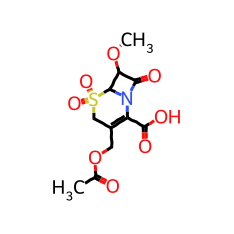 COC1C(=O)N2C(C(=O)O)=C(COC(C)=O)CS(=O)(=O)C12